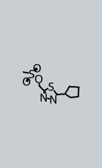 CS(=O)(=O)OCc1nnc(C2CCCC2)s1